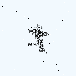 COc1cc(-c2nnc3n([C@@H](C)c4ccc(F)cc4)cc(C#N)cc2-3)ccc1-n1cnc(C)c1